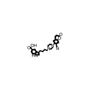 N#Cc1cc2oc(=O)ccc2cc1N1CCN(CCCCc2c[nH]c3ccc(C(=O)O)cc23)CC1